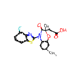 Cc1ccc2c(c1)OC(C)(CC(=O)O)C(=O)N2c1nc2c(F)cccc2s1